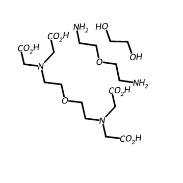 NCCOCCN.O=C(O)CN(CCOCCN(CC(=O)O)CC(=O)O)CC(=O)O.OCCO